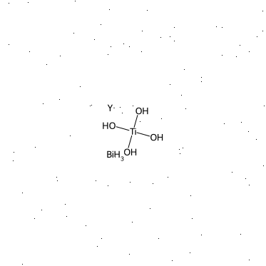 [BiH3].[OH][Ti]([OH])([OH])[OH].[Y]